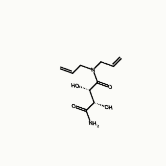 C=CCN(CC=C)C(=O)[C@@H](O)[C@H](O)C(N)=O